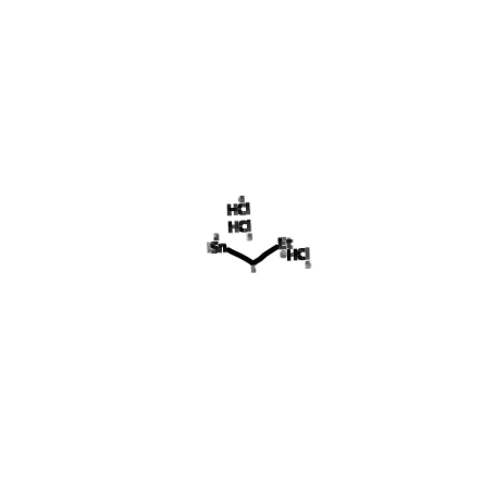 CC[CH2][Sn].Cl.Cl.Cl